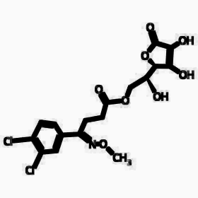 CO/N=C(\CCC(=O)OC[C@H](O)[C@H]1OC(=O)C(O)=C1O)c1ccc(Cl)c(Cl)c1